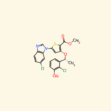 COC(=O)c1sc(-n2cnc3ccc(Cl)cc32)cc1O[C@H](C)c1cccc(O)c1Cl